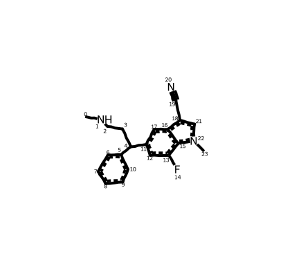 CNCCC(c1ccccc1)c1cc(F)c2c(c1)c(C#N)cn2C